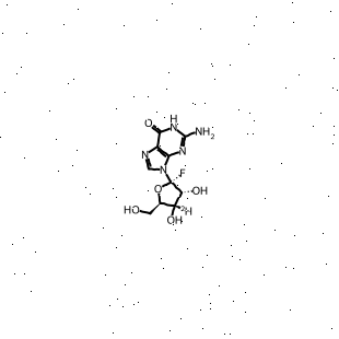 [2H][C@]1(O)[C@@H](O)[C@](F)(n2cnc3c(=O)[nH]c(N)nc32)O[C@@H]1CO